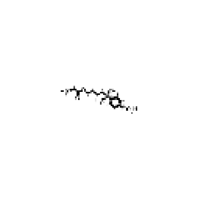 C=CC(=O)OCCCC[Si](C)(C)c1ccc(C(=O)O)cc1